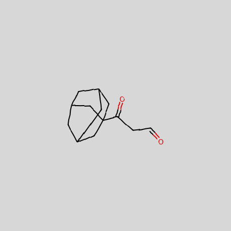 O=CCC(=O)C12CC3CC(CC(C3)C1)C2